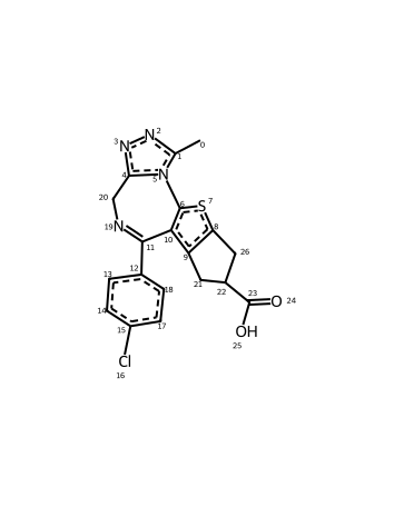 Cc1nnc2n1-c1sc3c(c1C(c1ccc(Cl)cc1)=NC2)CC(C(=O)O)C3